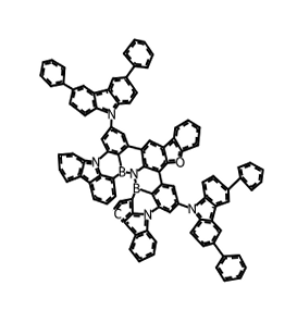 c1ccc(-c2ccc3c(c2)c2cc(-c4ccccc4)ccc2n3-c2cc3c4c(c2)-n2c5ccccc5c5cccc(c52)B4N2B4c5c(cc(-n6c7ccc(-c8ccccc8)cc7c7cc(-c8ccccc8)ccc76)cc5-n5c6ccccc6c6cccc4c65)-c4c2c-3cc2c4oc3ccccc32)cc1